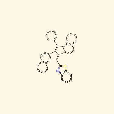 c1ccc(C2=C3C(=C(c4nc5ccccc5s4)c4c3ccc3ccccc43)c3ccc4ccccc4c32)cc1